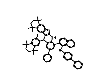 Cc1cc2c(cc1N1c3cc(-c4ccccc4)cc(-c4ccc5ccccc5c4Nc4ccc(-c5ccccc5)cc4)c3Bc3sc4cc5c(cc4c31)C(C)(C)CCC5(C)C)C(C)(C)CCC2(C)C